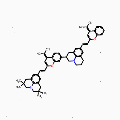 CC1(C)Cc2cc(/C=C/C3=CC(=C(C#N)C#N)c4ccc(C5Cc6cc(/C=C/C7=CC(=C(C#N)C#N)c8ccccc8O7)cc7c6N(CCC7)C5)cc4O3)cc3c2N(C1)CC(C)(C)C3